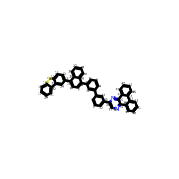 c1cc(-c2cccc(-c3ccc(-c4ccc5sc6ccccc6c5c4)c4ccccc34)c2)cc(-c2cnc3c4ccccc4c4ccccc4c3n2)c1